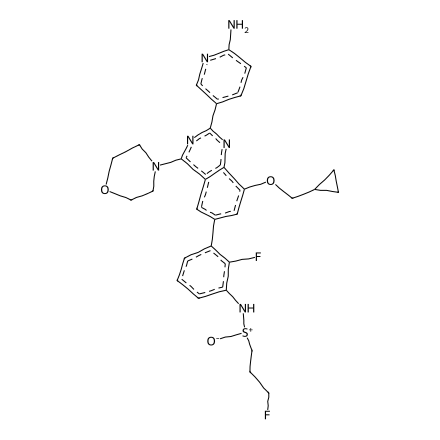 Nc1ccc(-c2nc(N3CCOCC3)c3cc(-c4cccc(N[S+]([O-])CCCF)c4F)cc(OCC4CC4)c3n2)cn1